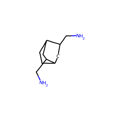 NCC1CC2CCC1CC2CN